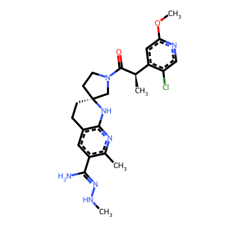 CN/N=C(\N)c1cc2c(nc1C)N[C@@]1(CC2)CCN(C(=O)[C@H](C)c2cc(OC)ncc2Cl)C1